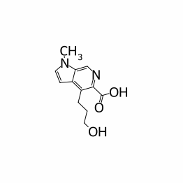 Cn1ccc2c(CCCO)c(C(=O)O)ncc21